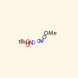 COc1ccc(CN2CC[C@@H](C3CCN(C(=O)OC(C)(C)C)CC3)C[C@H]2C)cc1